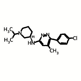 Cc1cc(N[C@@H]2CCCN(C(C)C)C2)nnc1-c1ccc(Cl)cc1